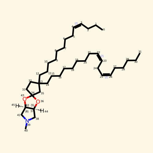 CCC/C=C\CCCCCCCCC1(CCCCCCCC/C=C\C/C=C\CCCCC)CCC2(C1)O[C@H]1CN(C)C[C@H]1O2